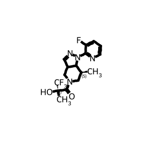 C[C@H]1CN(C(=O)[C@@](C)(O)C(F)(F)F)CC2C=NN(c3ncccc3F)C21